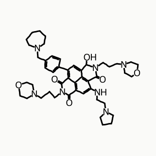 O=C1c2cc(NCCN3CCCC3)c3c4c(cc(-c5ccc(CN6CCCCCC6)cc5)c(c24)C(=O)N1CCCN1CCOCC1)C(O)N(CCCN1CCOCC1)C3=O